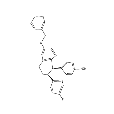 Oc1ccc([C@@H]2c3ccc(OCc4ccccc4)cc3CC[C@@H]2c2ccc(F)cc2)cc1